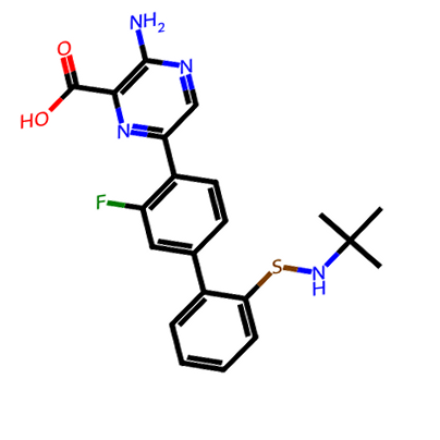 CC(C)(C)NSc1ccccc1-c1ccc(-c2cnc(N)c(C(=O)O)n2)c(F)c1